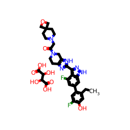 CCc1cc(O)c(F)cc1-c1cc(F)c2c(-c3nc4c([nH]3)CN(C(=O)CN3CCC5(CC3)COC5)CC4)n[nH]c2c1.O=C(O)C(O)C(O)C(=O)O